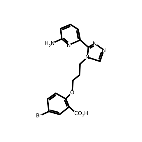 Nc1cccc(-c2nncn2CCCOc2ccc(Br)cc2C(=O)O)n1